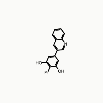 CC(C)c1c(O)cc(-c2cnc3ccccc3c2)cc1O